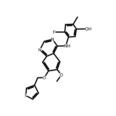 COc1cc2c(Nc3cc(O)c(C)cc3F)ncnc2cc1OCc1ccsc1